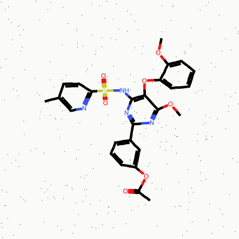 COc1ccccc1Oc1c(NS(=O)(=O)c2ccc(C)cn2)nc(-c2cccc(OC(C)=O)c2)nc1OC